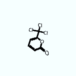 O=c1cccc(C(Cl)(Cl)Cl)o1